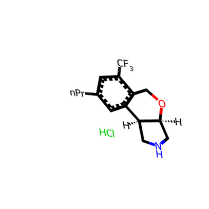 CCCc1cc2c(c(C(F)(F)F)c1)CO[C@H]1CNC[C@@H]21.Cl